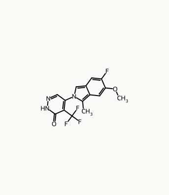 COc1cc2c(C)n(-c3cn[nH]c(=O)c3C(F)(F)F)cc2cc1F